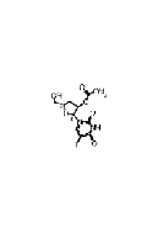 CC(=O)OC1C[C@H](CO)O[C@@H]1n1cc(I)c(=O)[nH]c1=O